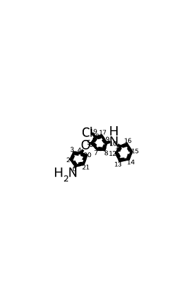 Nc1ccc(Oc2ccc(Nc3ccccc3)cc2Cl)cc1